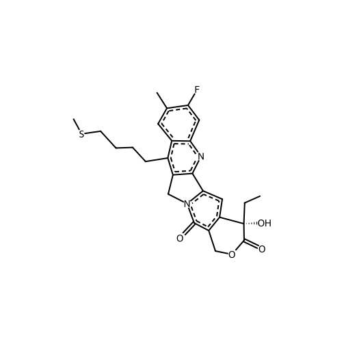 CC[C@@]1(O)C(=O)OCc2c1cc1n(c2=O)Cc2c-1nc1cc(F)c(C)cc1c2CCCCSC